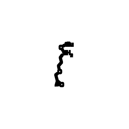 CC(C)(C)O[SiH2]CCCOCC1CO1